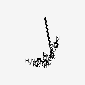 CCCCCCCCCCCCCCOC[C@H](COP(=O)(O)OC[C@@](C#N)(OC)[C@@H](O)[C@@H](O)c1ccc2c(N)ncnn12)Oc1ccc(C#N)cn1